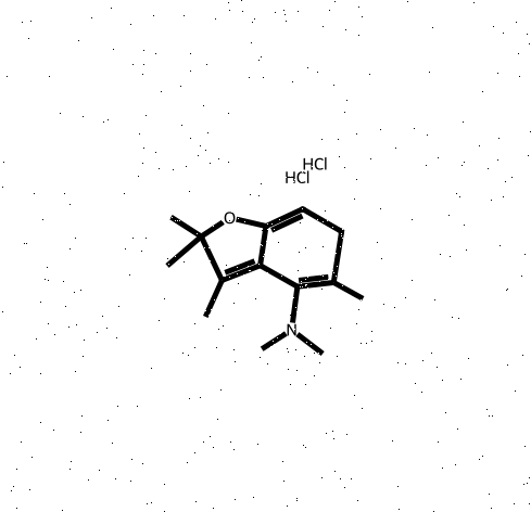 CC1=C(N(C)C)C2=C(C)C(C)(C)OC2=CC1.Cl.Cl